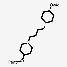 CCCC(C)OC1CCN(CCCC[C@H]2CC[C@H](OC)CC2)CC1